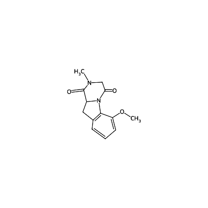 COc1cccc2c1N1C(=O)CN(C)C(=O)C1C2